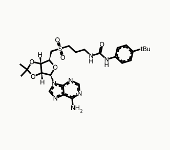 CC1(C)O[C@@H]2[C@H](O1)[C@@H](CS(=O)(=O)CCCNC(=O)Nc1ccc(C(C)(C)C)cc1)O[C@H]2n1cnc2c(N)ncnc21